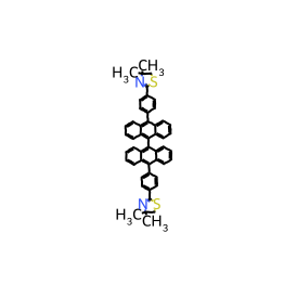 CC1(C)CSC(c2ccc(-c3c4ccccc4c(-c4c5ccccc5c(-c5ccc(C6=NC(C)(C)CS6)cc5)c5ccccc45)c4ccccc34)cc2)=N1